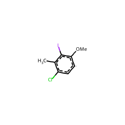 COc1[c]cc(Cl)c(C)c1I